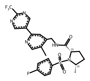 Cc1cnc(-c2cnc(C(F)(F)F)nc2)cc1CNC(=O)[C@@H]1CC[C@H](C)N1S(=O)(=O)c1ccc(F)cc1